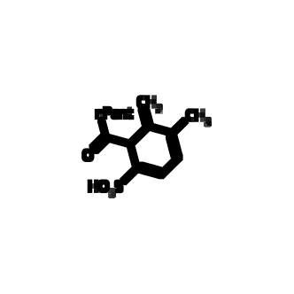 C=C1C(C)=CC=C(S(=O)(=O)O)C1C(=O)CCCCC